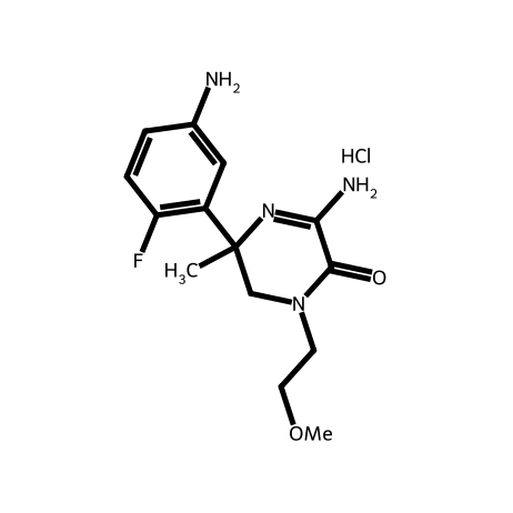 COCCN1CC(C)(c2cc(N)ccc2F)N=C(N)C1=O.Cl